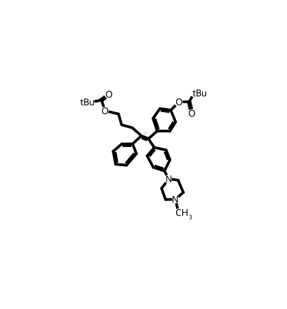 CN1CCN(c2ccc(/C(=C(/CCCOC(=O)C(C)(C)C)c3ccccc3)c3ccc(OC(=O)C(C)(C)C)cc3)cc2)CC1